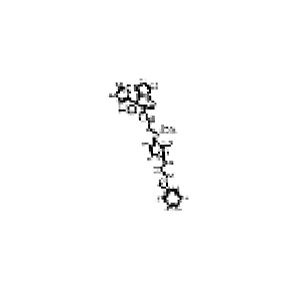 Cc1n(CCCOC(=O)C(O)(c2cccs2)c2cccs2)cc[n+]1CCCOc1ccccc1.[Br-]